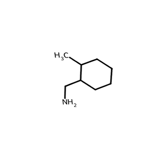 CC1CCCCC1CN